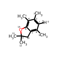 [2H]c1c(C)c(C)c2c(c1C)CC(C)(C)O2